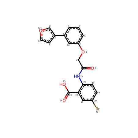 O=C(COc1cccc(-c2ccoc2)c1)Nc1ccc(Br)cc1C(=O)O